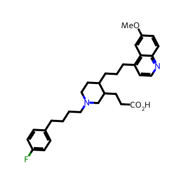 COc1ccc2nccc(CCCC3CCN(CCCCc4ccc(F)cc4)CC3CCC(=O)O)c2c1